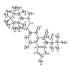 [2H]Oc1c(C(=O)N([2H])C([2H])CC([2H])N2C([2H])([2H])C([2H])([2H])C([2H])([2H])C([2H])([2H])C2([2H])[2H])c(=O)n(C([2H])(C)C([2H])([2H])[2H])c2sc([2H])cc12